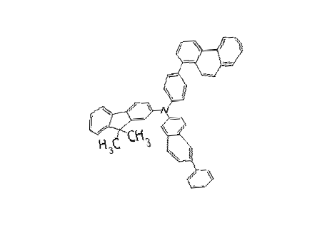 CC1(C)c2ccccc2-c2ccc(N(c3ccc(-c4cccc5c4ccc4ccccc45)cc3)c3ccc4cc(-c5ccccc5)ccc4c3)cc21